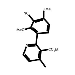 CCOC(=O)c1c(C)ccnc1-c1ccc(OC)c(C#N)c1OC